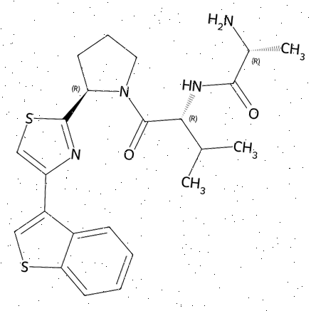 CC(C)[C@@H](NC(=O)[C@@H](C)N)C(=O)N1CCC[C@@H]1c1nc(-c2csc3ccccc23)cs1